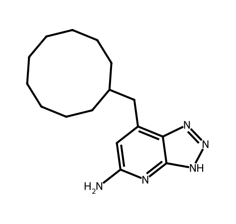 Nc1cc(CC2CCCCCCCCC2)c2nn[nH]c2n1